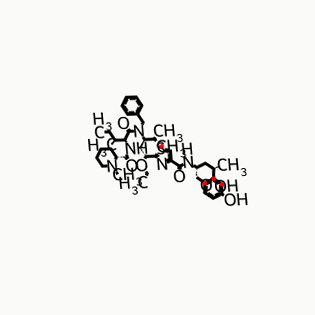 CCO[C@H](C[C@H](C(C)C)N(Cc1ccccc1)C(=O)[C@@H](NC(=O)[C@H]1CCCCN1C)[C@@H](C)CC)c1nc(C(=O)N[C@@H](Cc2ccc(O)cc2)C[C@H](C)C(=O)O)cs1